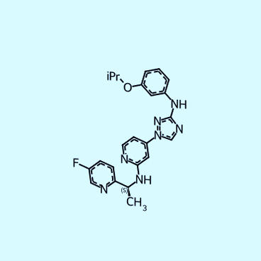 CC(C)Oc1cccc(Nc2ncn(-c3ccnc(N[C@@H](C)c4ccc(F)cn4)c3)n2)c1